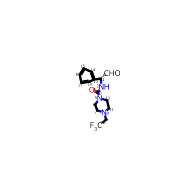 O=C[C@H](NC(=O)N1CCN(CC(F)(F)F)CC1)c1ccccc1